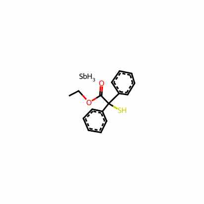 CCOC(=O)C(S)(c1ccccc1)c1ccccc1.[SbH3]